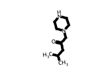 CC(C)CC(=O)CN1CCNCC1